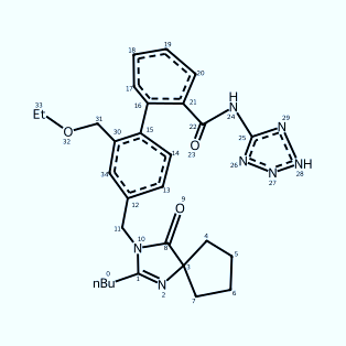 CCCCC1=NC2(CCCC2)C(=O)N1Cc1ccc(-c2ccccc2C(=O)Nc2nn[nH]n2)c(COCC)c1